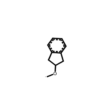 [CH2]OC1Cc2ccccc2C1